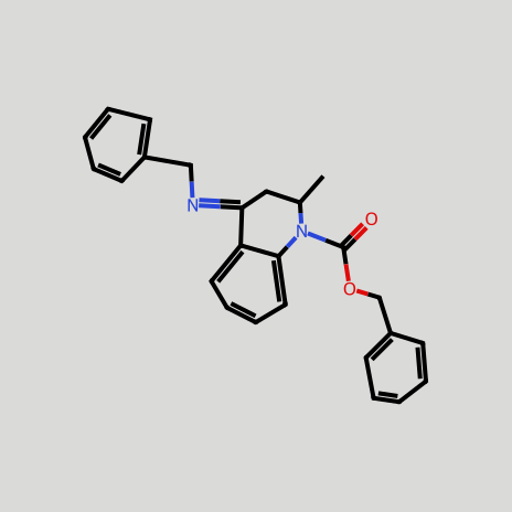 CC1CC(=NCc2ccccc2)c2ccccc2N1C(=O)OCc1ccccc1